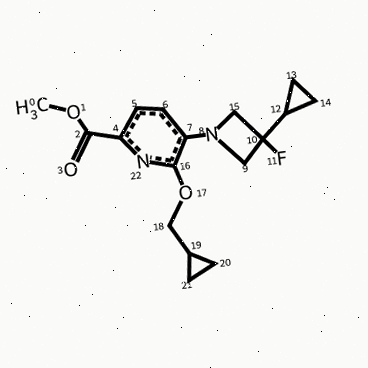 COC(=O)c1ccc(N2CC(F)(C3CC3)C2)c(OCC2CC2)n1